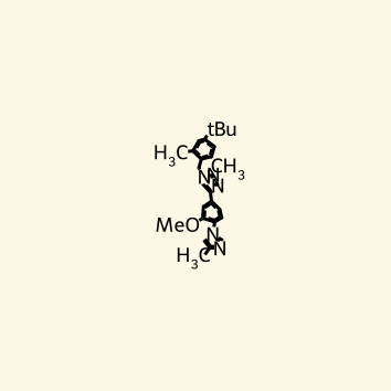 COc1cc(-c2cn(Cc3c(C)cc(C(C)(C)C)cc3C)nn2)ccc1-n1cnc(C)c1